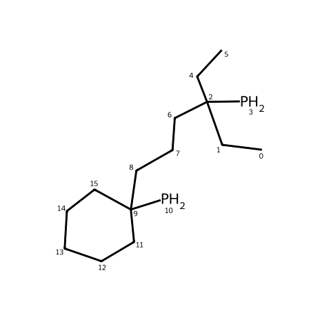 CCC(P)(CC)CCCC1(P)CCCCC1